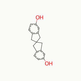 Oc1ccc2c(c1)CC1(C2)Cc2ccc(O)cc2C1